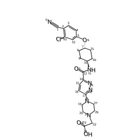 N#Cc1ccc(O[C@H]2CC[C@H](NC(=O)c3ccc(N4CCN(CC(=O)O)CC4)nn3)CC2)cc1Cl